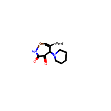 CCCCCC1=CSNC(=O)C(=O)C1N1CCCCC1